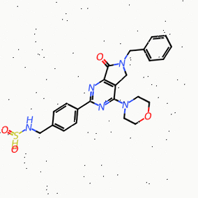 O=C1c2nc(-c3ccc(CN[SH](=O)=O)cc3)nc(N3CCOCC3)c2CN1Cc1ccccc1